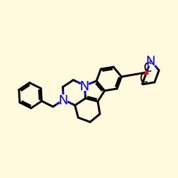 C1=C(c2ccc3c(c2)c2c4n3CCN(Cc3ccccc3)C4CCC2)C2CCN1CC2